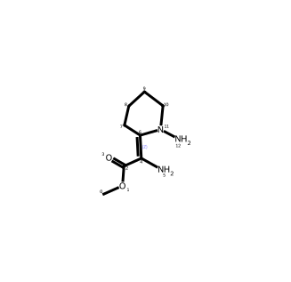 COC(=O)/C(N)=C1\CCCCN1N